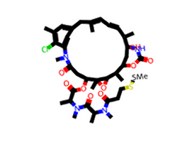 CSSCCC(=O)N(C)C(C)C(=O)N(C)C(C)C(=O)OC1CC(=O)N(C)c2cc(cc(C)c2Cl)C/C(C)=C/C=C/C(C)C2(O)CC(OC(=O)N2)C(C)C2OC12C